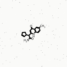 Cc1ccc2[nH]c(C(C(N)=O)C3C=CCC3)cc(=O)c2c1